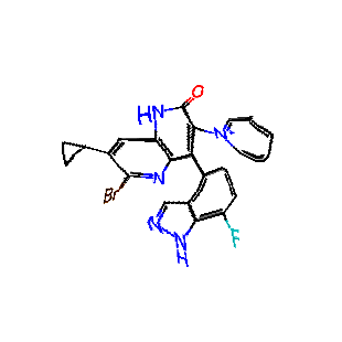 O=c1[nH]c2cc(C3CC3)c(Br)nc2c(-c2ccc(F)c3[nH]ncc23)c1-[n+]1ccccc1